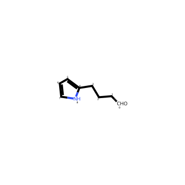 O=CCCCc1ccc[nH]1